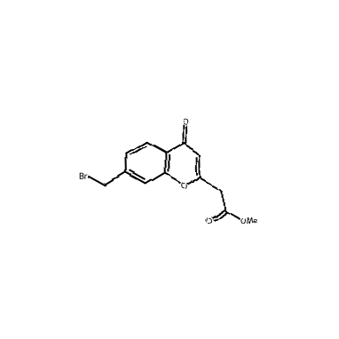 COC(=O)Cc1cc(=O)c2ccc(CBr)cc2o1